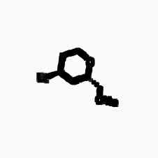 CC[C@H]1CCO[C@H](COC)C1